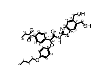 CCCCOc1ccc(OC(C(=O)Nc2nc3cc(CO)c(CO)cc3s2)c2ccc(S(=O)(=O)CC)cc2)cc1